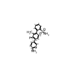 Cc1c(-c2ccccc2S(N)(=O)=O)ccc(-c2cnc(N)nc2)c1F